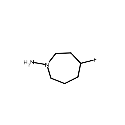 NN1CCCC(F)CC1